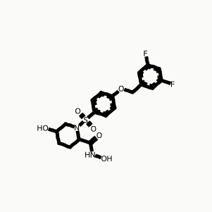 O=C(NO)C1CCC(O)CN1S(=O)(=O)c1ccc(OCc2cc(F)cc(F)c2)cc1